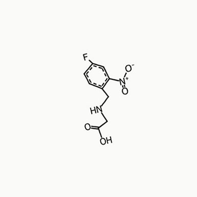 O=C(O)CNCc1ccc(F)cc1[N+](=O)[O-]